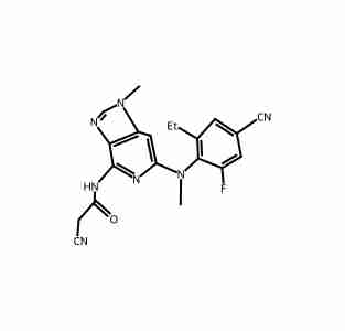 CCc1cc(C#N)cc(F)c1N(C)c1cc2c(ncn2C)c(NC(=O)CC#N)n1